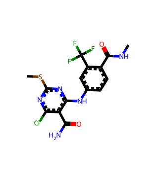 CNC(=O)c1ccc(Nc2nc(SC)nc(Cl)c2C(N)=O)cc1C(F)(F)F